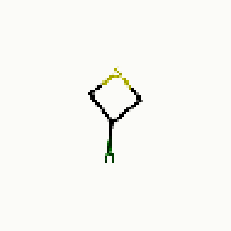 ClC1CSC1